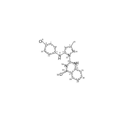 Cc1cc(Nc2ccc(Cl)cc2)n(-c2nc(=O)c3ccccc3[nH]2)n1